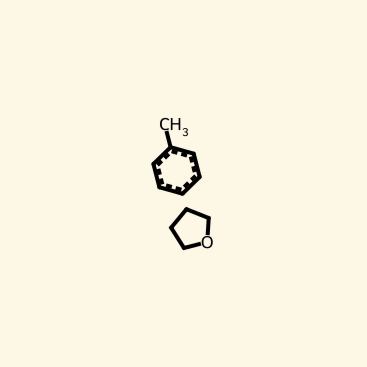 C1CCOC1.Cc1ccccc1